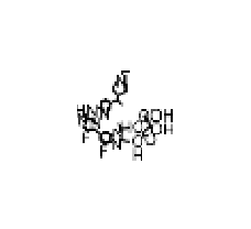 CCN1CCC(C(C)c2ccc(Nc3ncc(F)c(-c4cc(F)c5nc(C)n(C(C)C)c5c4)n3)nc2)CC1.O=C(O)C(O)C(O)C(=O)O